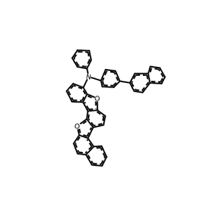 c1ccc(N(c2ccc(-c3ccc4ccccc4c3)cc2)c2cccc3c2oc2ccc4c(oc5ccc6ccccc6c54)c23)cc1